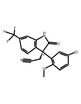 COc1ccc(Cl)cc1[C@@]1(CC#N)C(=O)Nc2cc(C(F)(F)F)ccc21